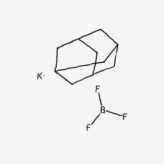 C1C2CC3CC1CC(C2)C3.FB(F)F.[K]